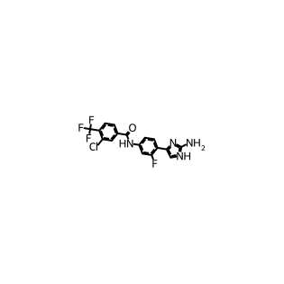 Nc1nc(-c2ccc(NC(=O)c3ccc(C(F)(F)F)c(Cl)c3)cc2F)c[nH]1